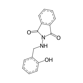 O=C1c2ccccc2C(=O)N1NCc1ccccc1O